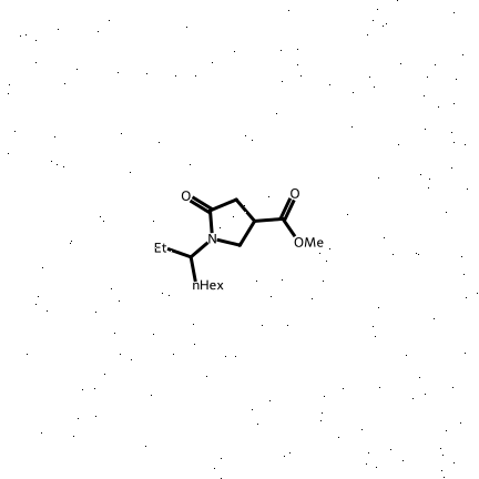 CCCCCCC(CC)N1CC(C(=O)OC)CC1=O